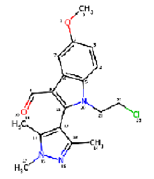 COc1ccc2c(c1)c(C=O)c(-c1c(C)nn(C)c1C)n2CCCl